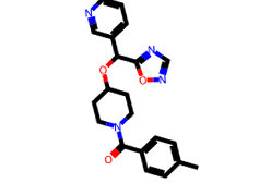 Cc1ccc(C(=O)N2CCC(OC(c3cccnc3)c3ncno3)CC2)cc1